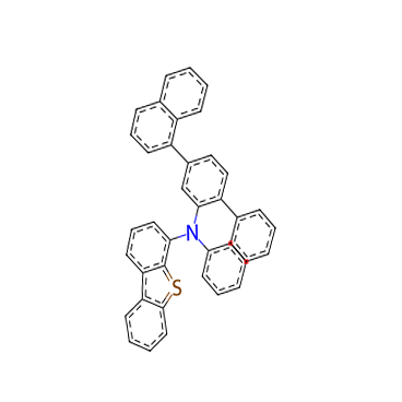 c1ccc(-c2ccc(-c3cccc4ccccc34)cc2N(c2ccccc2)c2cccc3c2sc2ccccc23)cc1